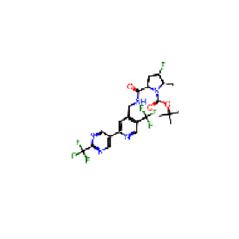 C[C@@H]1[C@H](F)C[C@H](C(=O)NCc2cc(-c3cnc(C(F)(F)F)nc3)ncc2C(F)(F)F)N1C(=O)OC(C)(C)C